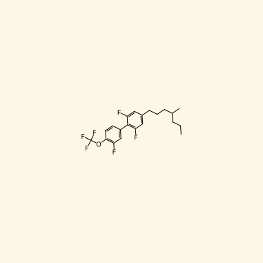 CCCC(C)CCCc1cc(F)c(-c2ccc(OC(F)(F)F)c(F)c2)c(F)c1